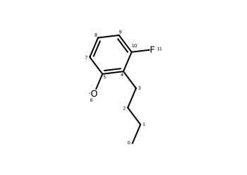 CCCCc1c([O])cccc1F